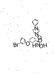 O=C(NO)[C@H]1C[C@H](Oc2cccc(Br)c2)CC[C@@H]1C(=O)N1CCN(c2ccccc2)CC1